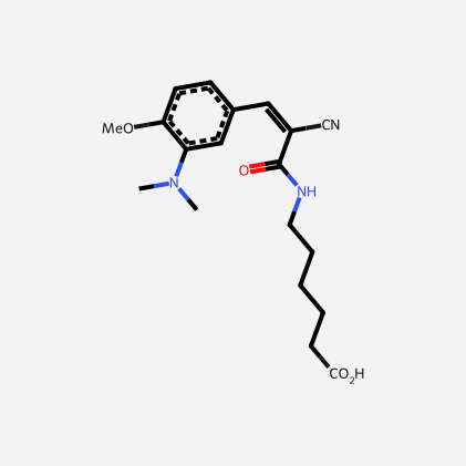 COc1ccc(C=C(C#N)C(=O)NCCCCCC(=O)O)cc1N(C)C